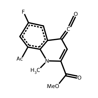 COC(=O)C1=CC(=C=O)c2cc(F)cc(C(C)=O)c2N1C